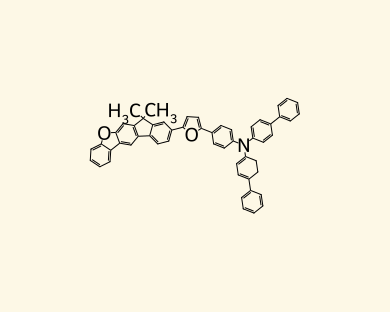 CC1(C)c2cc(-c3ccc(-c4ccc(N(C5=CC=C(c6ccccc6)CC5)c5ccc(-c6ccccc6)cc5)cc4)o3)ccc2-c2cc3c(cc21)oc1ccccc13